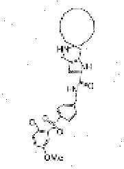 COc1ccc(Cl)c(S(=O)(=O)c2ccc(CNC(=O)c3cc4c([nH]3)CC3(CCCCCCCCCCC3)NC4)cc2)c1